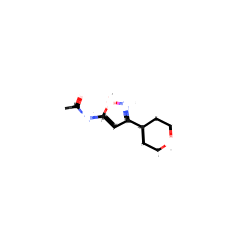 CCC(=O)Nc1cc(C2CCOCC2)no1